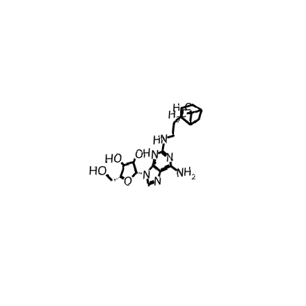 CC1(C)C2CC=C(CCNc3nc(N)c4ncn([C@@H]5O[C@H](CO)C(O)C5O)c4n3)C1C2